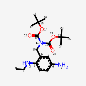 CCNc1ccc(N)cc1CN(C(=O)OC(C)(C)C)C(=O)OC(C)(C)C